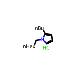 CCCCCCCn1cccc1CCCC.Cl